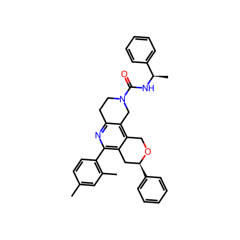 Cc1ccc(-c2nc3c(c4c2C[C@H](c2ccccc2)OC4)CN(C(=O)N[C@H](C)c2ccccc2)CC3)c(C)c1